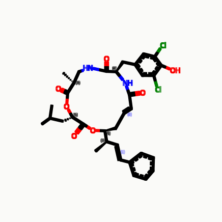 CC(C)C[C@@H]1OC(=O)[C@H](C)CNC(=O)[C@@H](Cc2cc(Cl)c(O)c(Cl)c2)NC(=O)/C=C/C[C@@H]([C@H](C)/C=C/c2ccccc2)OC1=O